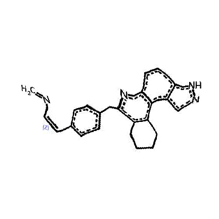 C=N/C=C\c1ccc(-c2nc3ccc4[nH]ncc4c3c3c2CCCC3)cc1